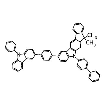 CC1(C)c2ccccc2C2=Cc3c(n(-c4ccc(-c5ccccc5)cc4)c4ccc(-c5ccc(-c6ccc7c(c6)c6ccccc6n7-c6ccccc6)cc5)cc34)CC21